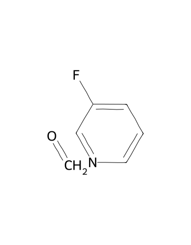 C=O.Fc1cccnc1